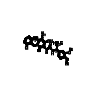 CCOc1ccc([C@H](CC(=O)O)NC(=O)Nc2c(O)c(C)c(C)n(Cc3c(C)cccc3Cl)c2=O)cc1OCC